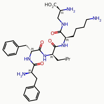 CC(C)C[C@@H](NC(=O)[C@@H](Cc1ccccc1)NC(=O)[C@H](N)Cc1ccccc1)C(=O)N[C@H](CCCCN)C(=O)NC[C@H](N)C(=O)O